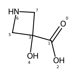 O=C(O)C1(O)CNC1